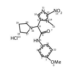 COc1ccc(NC(=O)C(c2cnc([N+](=O)[O-])n2C)N2CCCC2)cc1.Cl